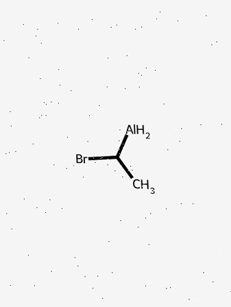 C[CH]([AlH2])Br